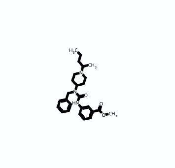 CCCC(C)N1CCC(N(Cc2ccccc2)C(=O)Nc2cccc(C(=O)OC)c2)CC1